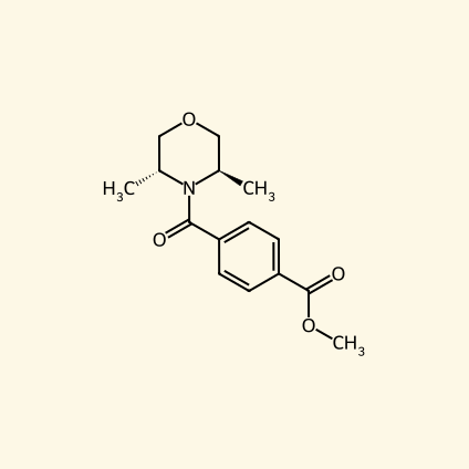 COC(=O)c1ccc(C(=O)N2[C@H](C)COC[C@H]2C)cc1